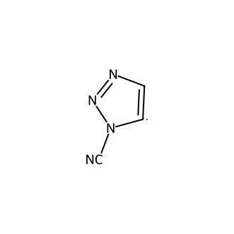 N#Cn1[c]cnn1